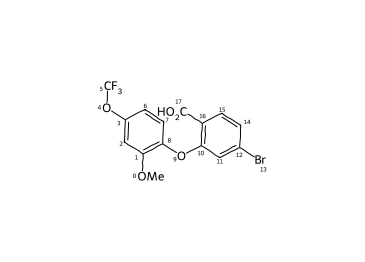 COc1cc(OC(F)(F)F)ccc1Oc1cc(Br)ccc1C(=O)O